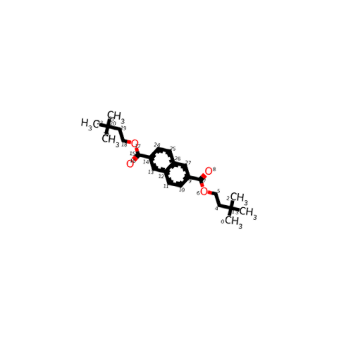 CC(C)(C)CCOC(=O)c1ccc2cc(C(=O)OCCC(C)(C)C)ccc2c1